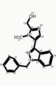 Cn1c(-c2nn(Cc3ccccc3)c3ccccc23)cnc1CO